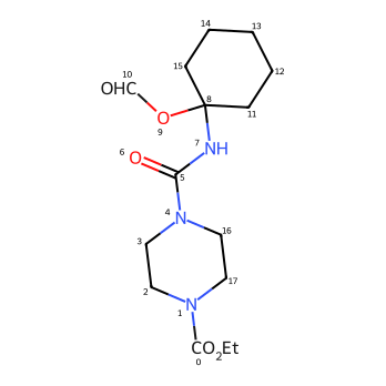 CCOC(=O)N1CCN(C(=O)NC2(OC=O)CCCCC2)CC1